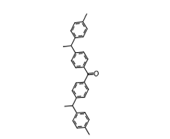 Cc1ccc(C(C)c2ccc(C(=O)c3ccc(C(C)c4ccc(C)cc4)cc3)cc2)cc1